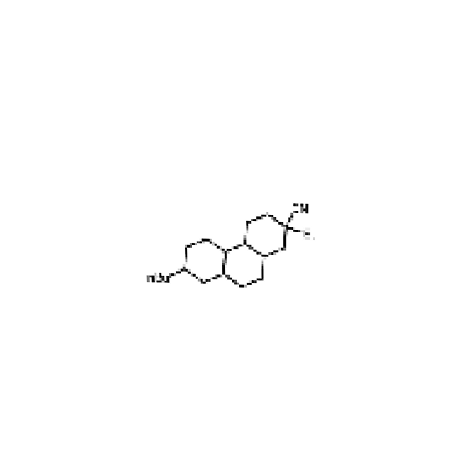 CCCCC1CCC2C(CCC3CC(C#N)(CC)CCC32)C1